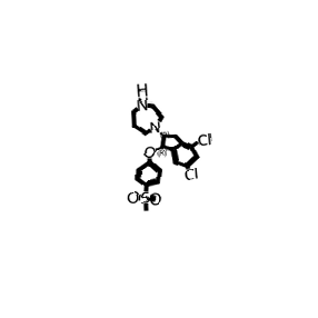 CS(=O)(=O)c1ccc(O[C@@H]2c3cc(Cl)cc(Cl)c3C[C@H]2N2CCCNCC2)cc1